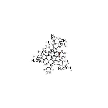 CC(C)(C)c1ccc(N2c3cc4c(sc5ccccc54)c4c3B(c3c2ccc2c3oc3cc5c(cc32)C(C)(C)CCC5(C)C)N2c3c-4cc(C(C)(C)C)cc3C3(C)CCCCC23C)c(-c2ccccc2)c1